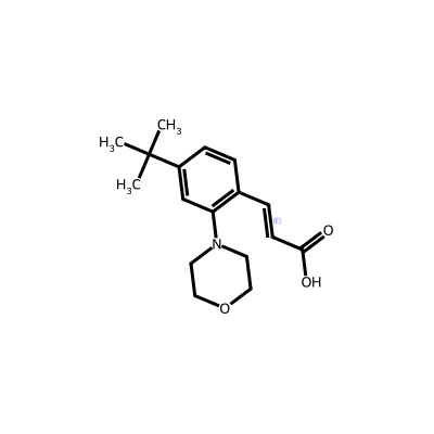 CC(C)(C)c1ccc(/C=C/C(=O)O)c(N2CCOCC2)c1